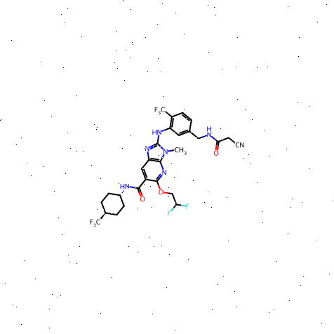 Cn1c(Nc2cc(CNC(=O)CC#N)ccc2C(F)(F)F)nc2cc(C(=O)N[C@H]3CC[C@H](C(F)(F)F)CC3)c(OCC(F)F)nc21